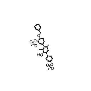 Cc1cc(-c2ccc(OS(C)(=O)=O)cc2)c(O)c(C)c1-c1ccc(OCc2ccccc2)c(OS(C)(=O)=O)c1